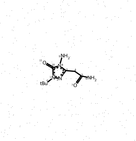 CC(C)(C)n1nc(CC(N)=O)n(N)c1=O